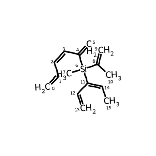 C=C/C=C\C(=C)[Si](C)(C(=C)C)/C(C=C)=C/C